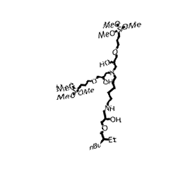 CCCCC(CC)COCC(O)CNCCCCCCN(CC(O)COCCC[Si](OC)(OC)OC)CC(O)COCCC[Si](OC)(OC)OC